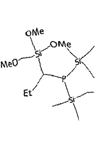 CCC(P([Si](C)(C)C)[Si](C)(C)C)[Si](OC)(OC)OC